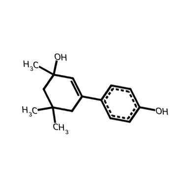 CC1(O)C=C(c2ccc(O)cc2)CC(C)(C)C1